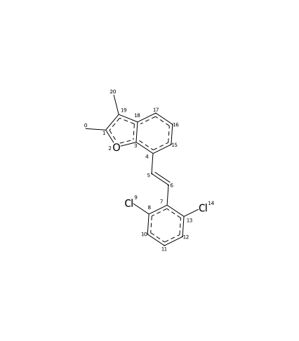 Cc1oc2c(/C=C/c3c(Cl)cccc3Cl)cccc2c1C